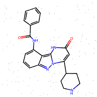 O=C(Nc1cccc2nn3c(C4CCNCC4)cc(=O)[nH]c3c12)c1ccccc1